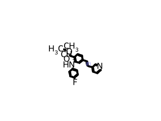 CC(C)(C)OC(=O)c1ccc(/C=C/c2cccnc2)cc1Nc1ccc(F)cc1